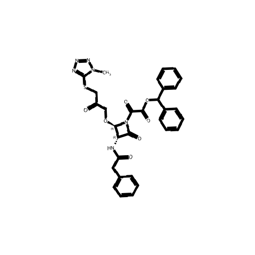 Cn1nnnc1SCC(=O)CO[C@@H]1[C@@H](NC(=O)Cc2ccccc2)C(=O)N1C(=O)C(=O)OC(c1ccccc1)c1ccccc1